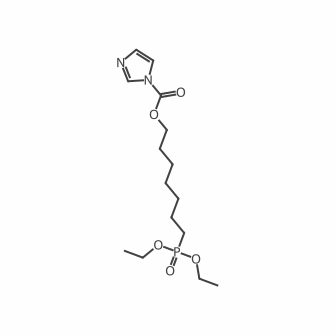 CCOP(=O)(CCCCCCCOC(=O)n1ccnc1)OCC